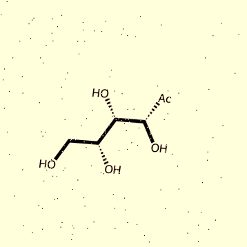 CC(=O)[C@H](O)[C@@H](O)[C@H](O)CO